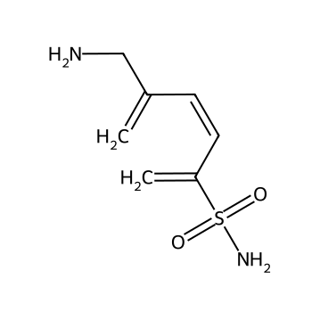 C=C(/C=C\C(=C)S(N)(=O)=O)CN